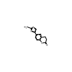 Nc1nc(-c2ccc3c(c2)CCC(=O)O3)cs1